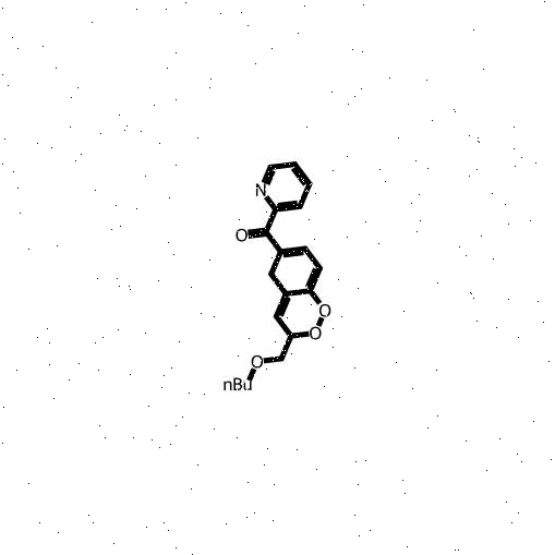 CCCCOCC1C=C2CC(C(=O)c3ccccn3)=CC=C2OO1